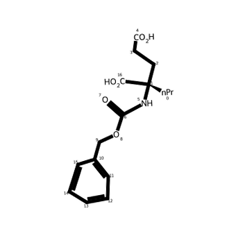 CCC[C@@](CCC(=O)O)(NC(=O)OCc1ccccc1)C(=O)O